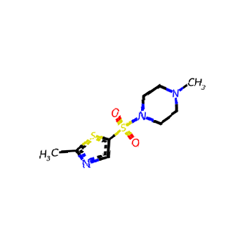 Cc1ncc(S(=O)(=O)N2CCN(C)CC2)s1